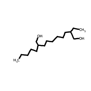 CCCCCC(CO)CCCCCCC(CC)CO